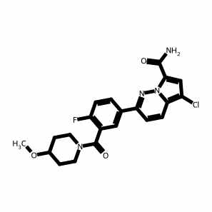 COC1CCN(C(=O)c2cc(-c3ccc4c(Cl)cc(C(N)=O)n4n3)ccc2F)CC1